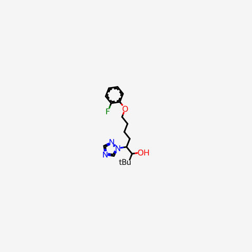 CC(C)(C)C(O)C(CCCCOc1ccccc1F)n1cncn1